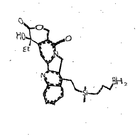 BCCC[Si](C)(C)CCc1c2c(nc3ccccc13)-c1cc3c(c(=O)n1C2)COC(=O)[C@]3(O)CC